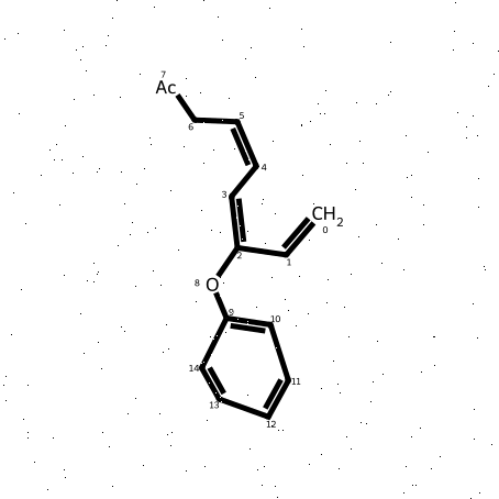 C=C/C(=C\C=C/CC(C)=O)Oc1ccccc1